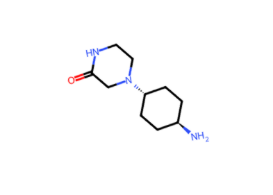 N[C@H]1CC[C@H](N2CCNC(=O)C2)CC1